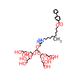 CC(CCCCCOC(=O)c1ccc(-c2ccccc2)cc1)CCCCCn1cc(COC(COC(COCC(O)CO)COCC(O)CO)COC(COCC(O)CO)COCC(O)CO)nn1